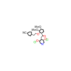 COc1ccc(C(=O)Cc2c(OCl)cncc2OCl)c(OCCc2ccc(C#N)cc2)c1OC